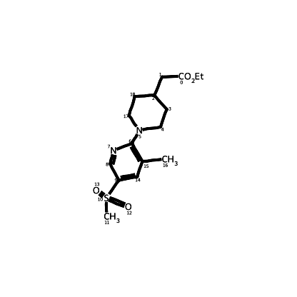 CCOC(=O)CC1CCN(c2ncc(S(C)(=O)=O)cc2C)CC1